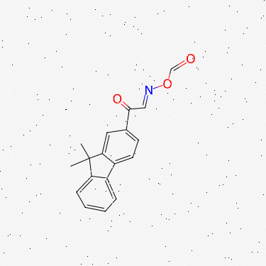 CC1(C)c2ccccc2-c2ccc(C(=O)/C=N/OC=O)cc21